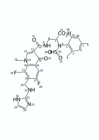 Cc1cc(C)c(N(C(CNC(=O)c2cn(C)c3c(F)c(CNc4ncc[nH]4)c(F)cc3c2=O)C(=O)O)[SH](=O)=O)c(C)c1